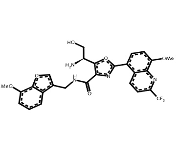 COc1ccc(-c2nc(C(=O)NCc3coc4c(OC)cccc34)c([C@@H](N)CO)o2)c2ccc(C(F)(F)F)nc12